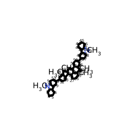 Cn1c2ccccc2c2cc(-c3ccc4c(c3)C(C)(C)c3cc5c6c(cccc6c3-4)C(C)(C)c3cc(-c4ccc6c(c4)c4ccccc4n6C)ccc3-5)ccc21